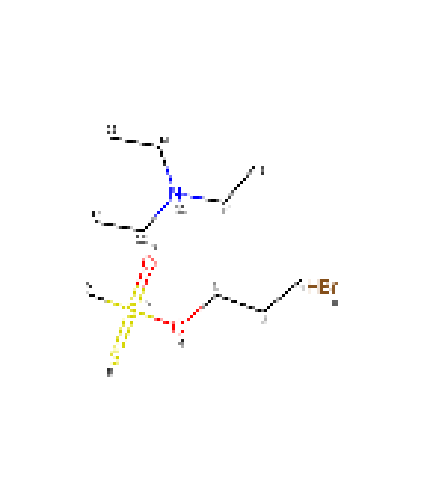 Br.CCCOS(C)(=O)=S.CCN(CC)CC